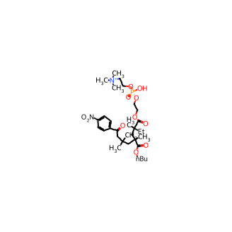 CCCCOC(=O)C(C)(CC(C)(C)CC(=O)c1ccc([N+](=O)[O-])cc1)CC(C)(CC)C(=O)OCCOP(=O)(O)OCC[N+](C)(C)C